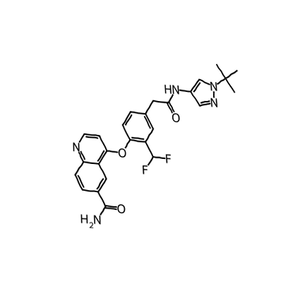 CC(C)(C)n1cc(NC(=O)Cc2ccc(Oc3ccnc4ccc(C(N)=O)cc34)c(C(F)F)c2)cn1